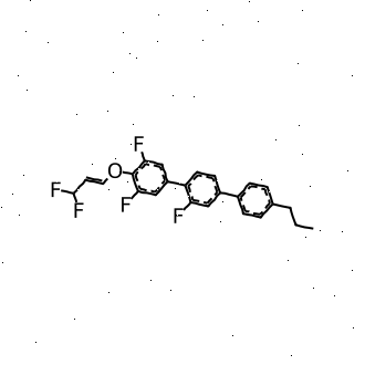 CCCc1ccc(-c2ccc(-c3cc(F)c(O/C=C/C(F)F)c(F)c3)c(F)c2)cc1